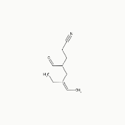 CC=C(CC)CC(C=O)CCC#N